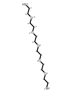 SCCOCCOCCOCCOCCOCCS